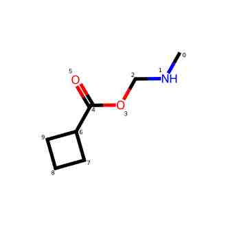 CNCOC(=O)C1CCC1